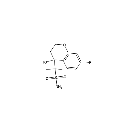 CC(C)(C1(O)CCOc2cc(F)ccc21)S(N)(=O)=O